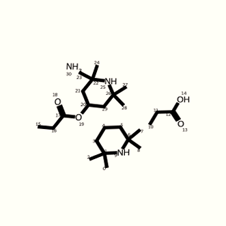 CC1(C)CCCC(C)(C)N1.CCC(=O)O.CCC(=O)OC1CC(C)(C)NC(C)(C)C1.N